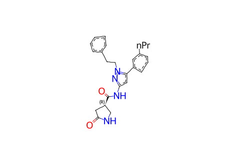 CCCc1cccc(-c2cc(NC(=O)[C@H]3CNC(=O)C3)nn2CCc2ccccc2)c1